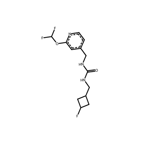 O=C(NCc1ccnc(OC(F)F)c1)NCC1CC(F)C1